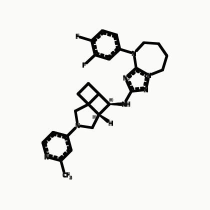 Fc1ccc(N2CCCCn3nc(N[C@@H]4C5CCC56CN(c5ccnc(C(F)(F)F)c5)C[C@@H]46)nc32)cc1F